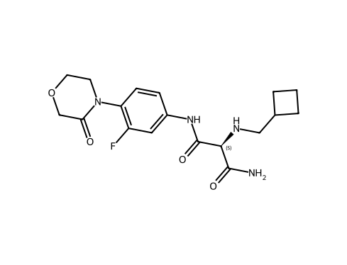 NC(=O)[C@H](NCC1CCC1)C(=O)Nc1ccc(N2CCOCC2=O)c(F)c1